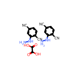 N#Cc1ccc(C#N)c(NN)c1.N#Cc1ccc(C#N)c(NN)c1.O=C(O)C(=O)O